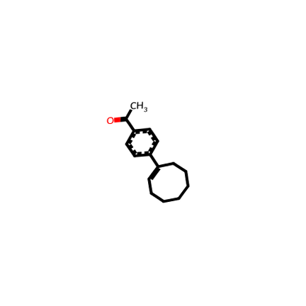 CC(=O)c1ccc(C2=CCCCCCC2)cc1